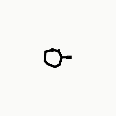 OC1CCCCCOS1